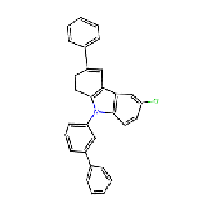 Clc1ccc2c(c1)c1c(n2-c2cccc(-c3ccccc3)c2)CCC(c2ccccc2)=C1